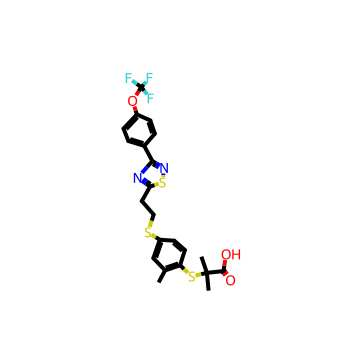 Cc1cc(SCCc2nc(-c3ccc(OC(F)(F)F)cc3)ns2)ccc1SC(C)(C)C(=O)O